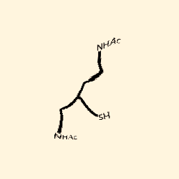 CC(=O)NCCC(S)CNC(C)=O